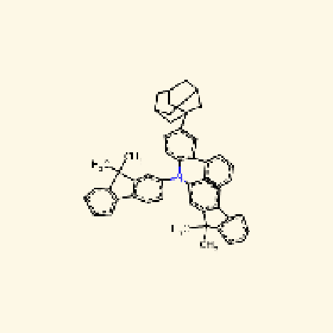 CC1(C)c2ccccc2-c2ccc(N(c3ccc4c(c3)C(C)(C)c3ccccc3-4)c3ccc(C45CC6CC(CC(C6)C4)C5)cc3-c3ccccc3)cc21